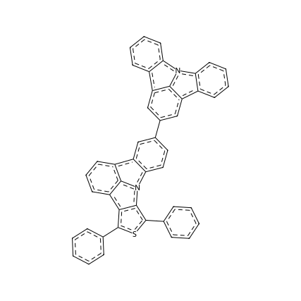 c1ccc(-c2sc(-c3ccccc3)c3c2c2cccc4c5cc(-c6cc7c8ccccc8n8c9ccccc9c(c6)c78)ccc5n3c42)cc1